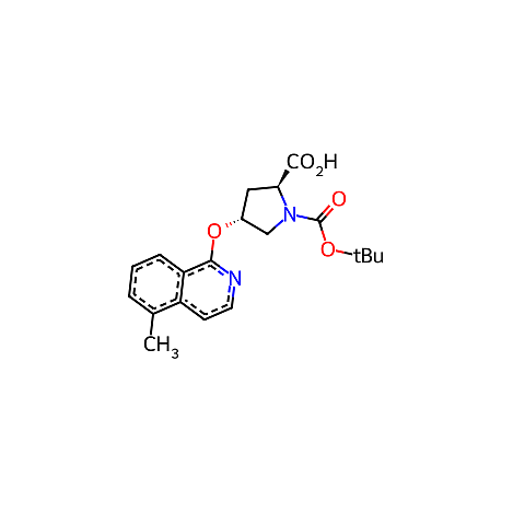 Cc1cccc2c(O[C@@H]3C[C@@H](C(=O)O)N(C(=O)OC(C)(C)C)C3)nccc12